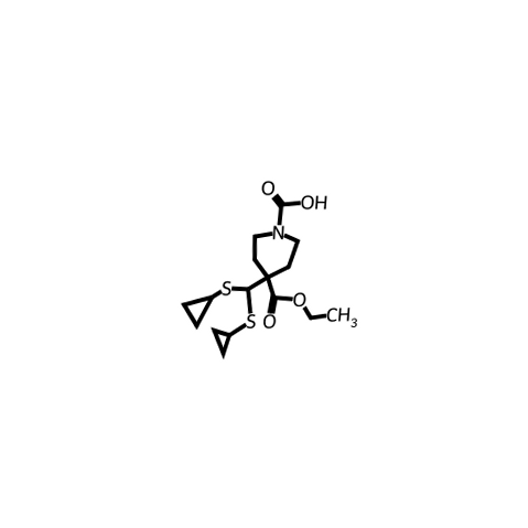 CCOC(=O)C1(C(SC2CC2)SC2CC2)CCN(C(=O)O)CC1